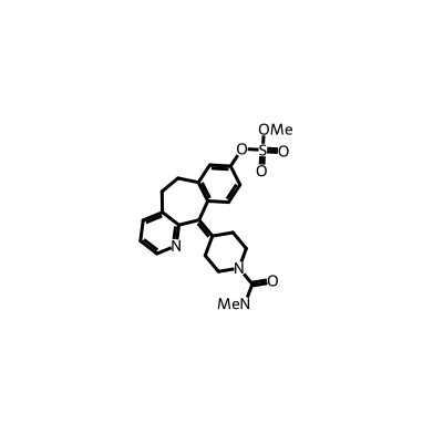 CNC(=O)N1CCC(=C2c3ccc(OS(=O)(=O)OC)cc3CCc3cccnc32)CC1